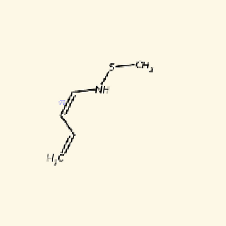 C=C/C=C\NSC